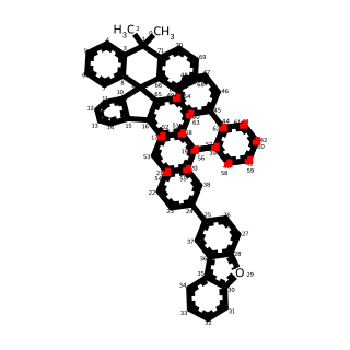 CC1(C)c2ccccc2C2(c3ccccc3-c3cc(N(c4cccc(-c5ccc6oc7ccccc7c6c5)c4)c4ccccc4-c4ccccc4-c4ccccc4-c4ccccc4)ccc32)c2ccccc21